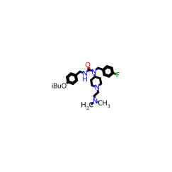 CC(C)COc1ccc(CNC(=O)N(Cc2ccc(F)cc2)C2CCN(CCN(C)C)CC2)cc1